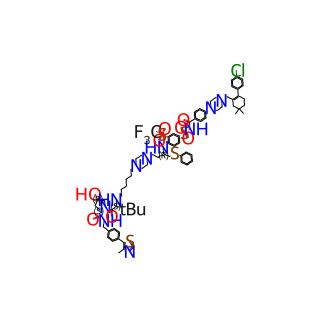 Cc1ncsc1-c1ccc(CNC(=O)[C@@H]2C[C@@H](O)CN2C(=O)[C@@H](NCCCCCCN2CCN(CC[C@H](CSc3ccccc3)Nc3ccc(S(=O)(=O)NC(=O)c4ccc(N5CCN(CC6=C(c7ccc(Cl)cc7)CCC(C)(C)C6)CC5)cc4)cc3S(=O)(=O)C(F)(F)F)CC2)C(C)(C)C)cc1